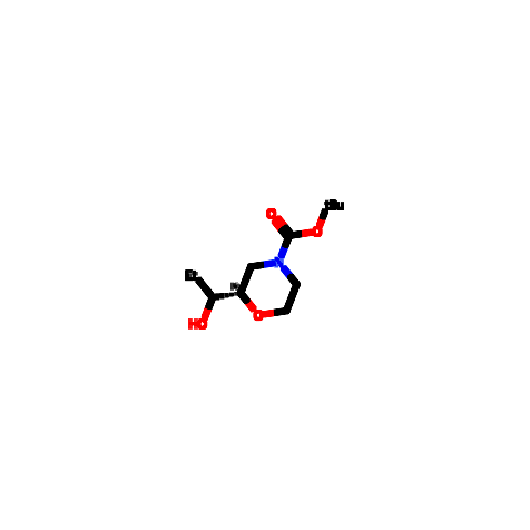 CCC(O)[C@@H]1CN(C(=O)OC(C)(C)C)CCO1